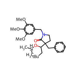 COc1cc(CN2CCC(Cc3ccccc3)(C(CC(C)(C)C)O[SiH](C)C)C2=O)cc(OC)c1OC